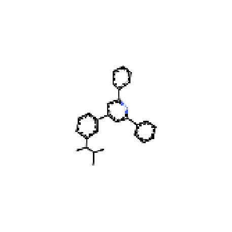 CC(C)C(C)c1cccc(-c2cc(-c3ccccc3)nc(-c3ccccc3)c2)c1